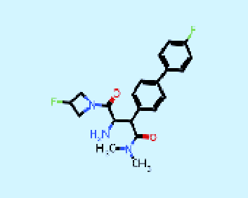 CN(C)C(=O)C(c1ccc(-c2ccc(F)cc2)cc1)C(N)C(=O)N1CC(F)C1